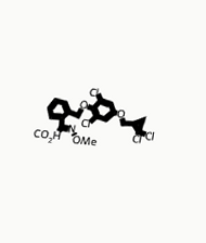 CON=C(C(=O)O)c1ccccc1COc1c(Cl)cc(OCC2CC2(Cl)Cl)cc1Cl